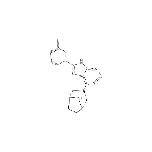 Cc1cc(-c2cc3c(N4CC5CCC(C4)N5)ncnc3[nH]2)ccn1